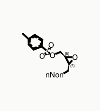 CCCCCCCCCC[C@@H]1O[C@@H]1COS(=O)(=O)c1ccc(C)cc1